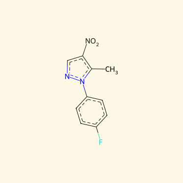 Cc1c([N+](=O)[O-])cnn1-c1ccc(F)cc1